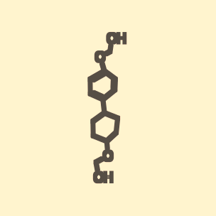 OCOc1ccc(C2CCC(OCO)CC2)cc1